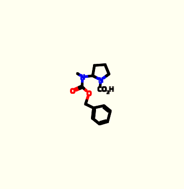 CN(C(=O)OCc1ccccc1)C1CCCN1C(=O)O